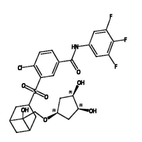 O=C(Nc1cc(F)c(F)c(F)c1)c1ccc(Cl)c(S(=O)(=O)C2CC3CC(C2)C3(O)CO[C@H]2C[C@@H](O)[C@@H](O)C2)c1